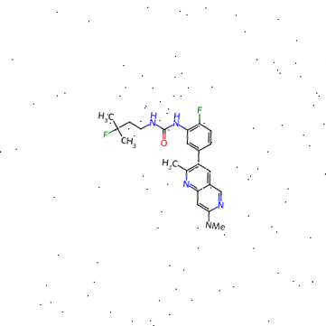 CNc1cc2nc(C)c(-c3ccc(F)c(NC(=O)NCCC(C)(C)F)c3)cc2cn1